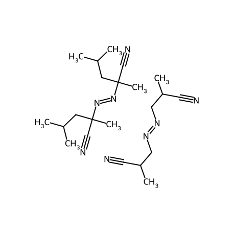 CC(C#N)CN=NCC(C)C#N.CC(C)CC(C)(C#N)N=NC(C)(C#N)CC(C)C